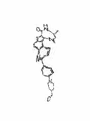 CC1CN(C)c2c(sc3ccc4nc(-c5ccc(N6CCC(C=O)CC6)cc5)ccc4c23)C(=O)N1